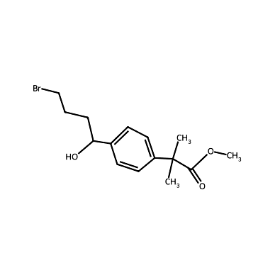 COC(=O)C(C)(C)c1ccc(C(O)CCCBr)cc1